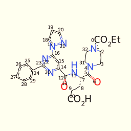 CCOC(=O)N1CCN(C(=O)[C@H](CCC(=O)O)NC(=O)c2cc(-n3cccn3)nc(-c3ccccc3)n2)CC1